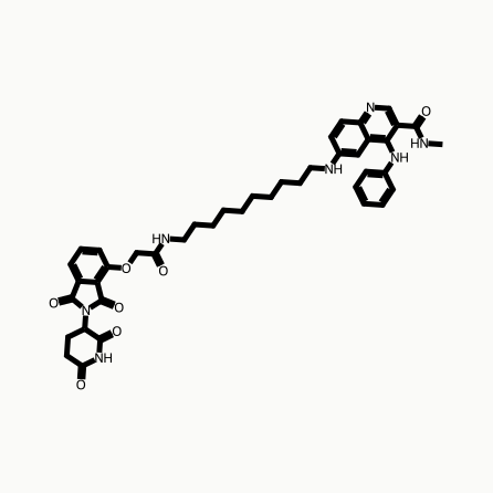 CNC(=O)c1cnc2ccc(NCCCCCCCCCCNC(=O)COc3cccc4c3C(=O)N(C3CCC(=O)NC3=O)C4=O)cc2c1Nc1ccccc1